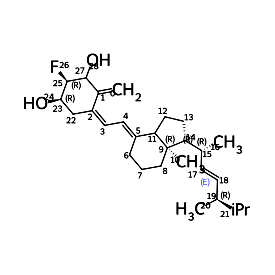 C=C1C(=CC=C2CCC[C@@]3(C)C2CC[C@@H]3[C@H](C)/C=C/[C@H](C)C(C)C)C[C@@H](O)[C@@H](F)C1O